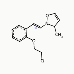 CC1C=CON1/C=C/c1ccccc1OCCCl